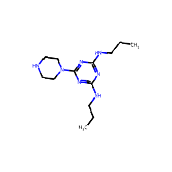 CCCNc1nc(NCCC)nc(N2CCNCC2)n1